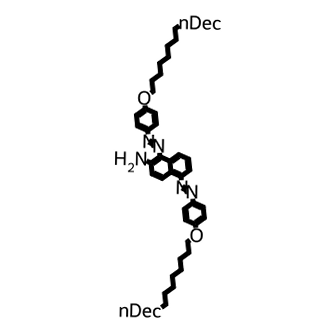 CCCCCCCCCCCCCCCCCCOc1ccc(N=Nc2cccc3c(N=Nc4ccc(OCCCCCCCCCCCCCCCCCC)cc4)c(N)ccc23)cc1